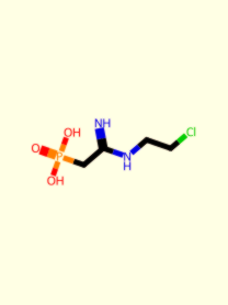 N=C(CP(=O)(O)O)NCCCl